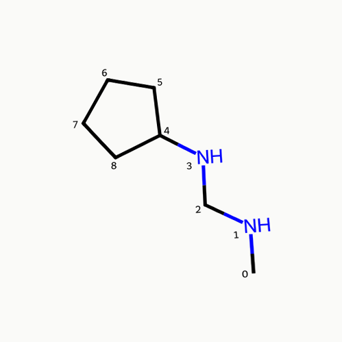 CNCNC1CCCC1